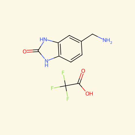 NCc1ccc2[nH]c(=O)[nH]c2c1.O=C(O)C(F)(F)F